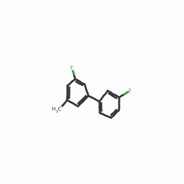 Cc1cc(F)cc(-c2cccc(F)c2)c1